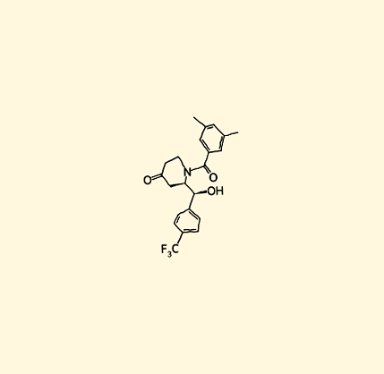 Cc1cc(C)cc(C(=O)N2CCC(=O)C[C@@H]2[C@@H](O)c2ccc(C(F)(F)F)cc2)c1